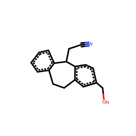 N#CCC1c2ccccc2CCc2cc(CO)ccc21